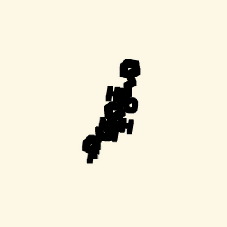 O=C(NCCCc1ccccc1)c1cccc(Nc2ncc(-c3cccc(F)c3)cn2)c1